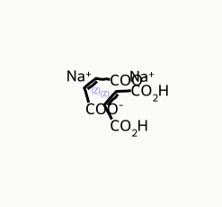 O=C(O)/C=C\C(=O)O.O=C([O-])/C=C\C(=O)[O-].[Na+].[Na+]